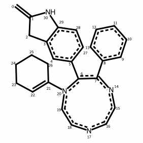 C=C1Cc2cc(-c3c(-c4ccccc4)nccnccn3C3=CCCCC3)ccc2N1